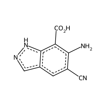 N#Cc1cc2cn[nH]c2c(C(=O)O)c1N